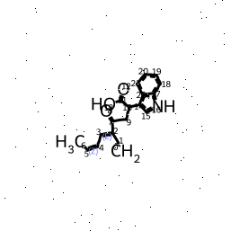 C=C/C(=C\C=C/C)C(=O)CC(C(=O)O)c1c[nH]c2ccccc12